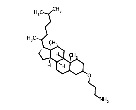 CC(C)CCC[C@@H](C)[C@H]1CC[C@H]2[C@@H]3CCC4CC(OCCCN)CC[C@]4(C)[C@H]3CC[C@]12C